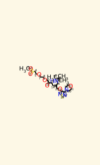 COS(=O)CCOCCOCC(=O)CC[C@@H](CNC(C)(C)C)COc1nsnc1N1CCOCC1